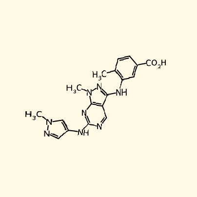 Cc1ccc(C(=O)O)cc1Nc1nn(C)c2nc(Nc3cnn(C)c3)ncc12